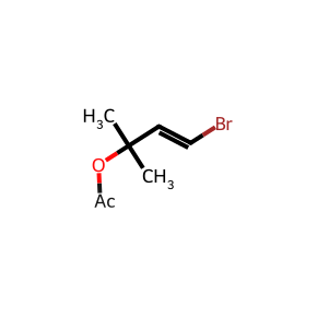 CC(=O)OC(C)(C)C=CBr